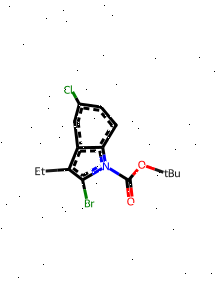 CCc1c(Br)n(C(=O)OC(C)(C)C)c2ccc(Cl)cc12